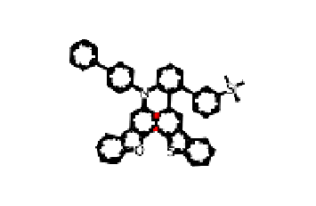 C[Si](C)(C)c1cccc(-c2cccc(N(c3ccc(-c4ccccc4)cc3)c3ccc4oc5ccccc5c4c3)c2-c2ccc3sc4ccccc4c3c2)c1